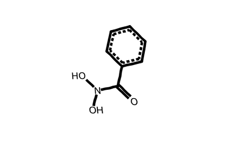 O=C(c1ccccc1)N(O)O